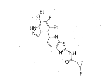 CCOc1c(F)c(CC)c(-c2ccc3nc(NC(=O)C4CC4F)sc3n2)c2cn[nH]c12